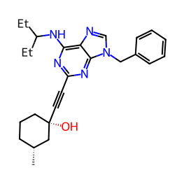 CCC(CC)Nc1nc(C#C[C@]2(O)CCC[C@@H](C)C2)nc2c1ncn2Cc1ccccc1